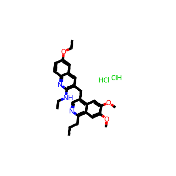 CCCc1ncc(Cc2cc3cc(OCC)ccc3nc2NCC)c2cc(OC)c(OC)cc12.Cl.Cl